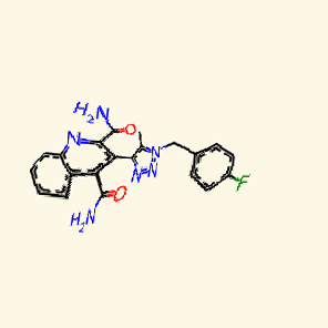 Cc1c(-c2c(C(N)=O)nc3ccccc3c2C(N)=O)nnn1Cc1ccc(F)cc1